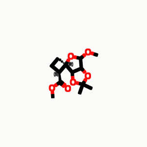 COC(=O)[C@H]1CC[C@@]12OC(OC)C1OC(C)(C)OC12